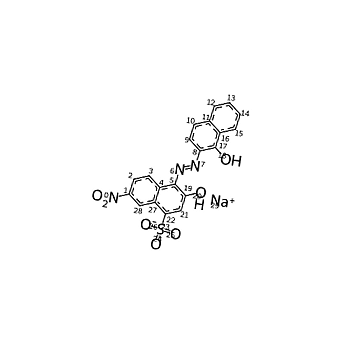 O=[N+]([O-])c1ccc2c(N=Nc3ccc4ccccc4c3O)c(O)cc(S(=O)(=O)[O-])c2c1.[Na+]